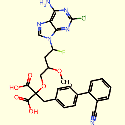 COC(COC(Cc1ccc(-c2ccccc2C#N)cc1)(C(=O)O)C(=O)O)CC(F)n1cnc2c(N)nc(Cl)nc21